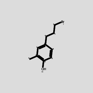 Cc1cc(CCCBr)ccc1O